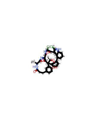 CC(C)C1NC(=O)CCc2ccc(O)c(c2)C23c4cccc(c4O[C@@H]2C)-c2cccc4[nH]c(Cl)c(c24)-c2oc(nc2Cl)-c2nc1oc23